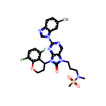 CN(CCCn1c(=O)n(C2CCOc3c(F)ccc(F)c32)c2nc(-n3cnc4ccc(C#N)cc43)ncc21)S(C)(=O)=O